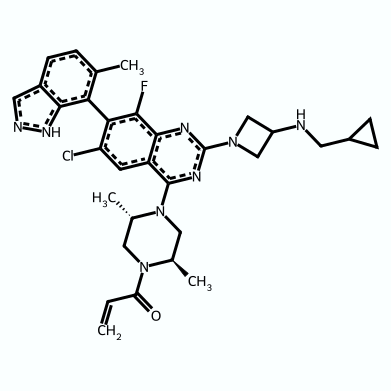 C=CC(=O)N1C[C@H](C)N(c2nc(N3CC(NCC4CC4)C3)nc3c(F)c(-c4c(C)ccc5cn[nH]c45)c(Cl)cc23)C[C@H]1C